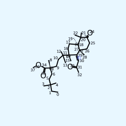 CCC(C)(C)CC[C@@](C)(CCC(C)(C)[C@]1(C)CC[C@@]2(C)C(C)(C)C(=O)CC[C@]2(C)/C1=C/C(C)=O)C(=O)OC